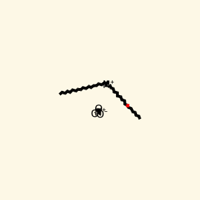 CCCCCCCCCCCCCCCCCC[N+](C)(C)CCCCCCCCCCCCCCCCCC.O=[N+]([O-])[O-]